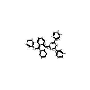 c1ccc(Oc2c3ccccc3c(-c3nc(-c4ccccc4)nc(-c4ccccc4)n3)c3ccccc23)cc1